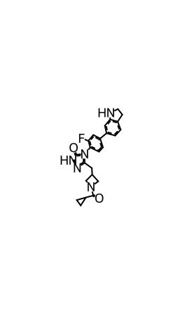 O=C(C1CC1)N1CC(Cc2n[nH]c(=O)n2-c2ccc(-c3ccc4c(c3)NCC4)cc2F)C1